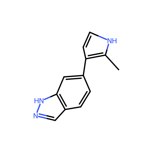 Cc1[nH]ccc1-c1ccc2cn[nH]c2c1